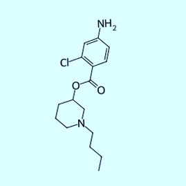 CCCCN1CCCC(OC(=O)c2ccc(N)cc2Cl)C1